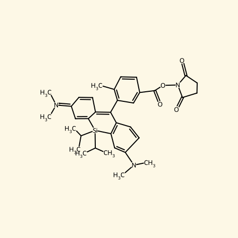 Cc1ccc(C(=O)ON2C(=O)CCC2=O)cc1C1=C2C=CC(=[N+](C)C)C=C2[Si](C(C)C)(C(C)C)c2cc(N(C)C)ccc21